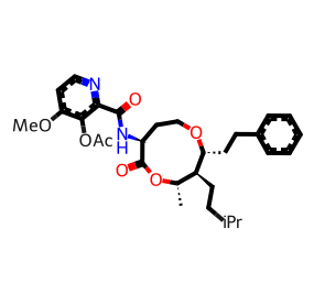 COc1ccnc(C(=O)N[C@H]2CCO[C@H](CCc3ccccc3)[C@@H](CCC(C)C)[C@H](C)OC2=O)c1OC(C)=O